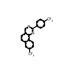 FC(F)(F)c1ccc(-c2ncc3ccc4cc(C(F)(F)F)ccc4c3n2)cc1